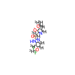 [2H]c1nc(C([2H])([2H])[S+]([O-])c2nc3c([2H])c([2H])c(OC([2H])(F)F)c([2H])c3[nH]2)c(OC)c(OC([2H])([2H])[2H])c1[2H]